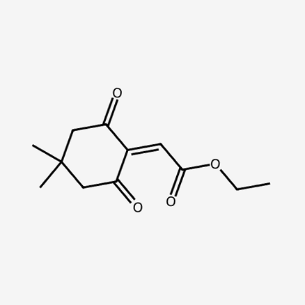 CCOC(=O)C=C1C(=O)CC(C)(C)CC1=O